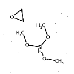 C1CO1.CO[SiH](OC)OC